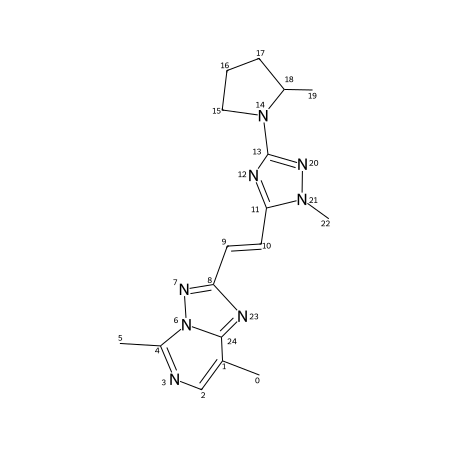 Cc1cnc(C)n2nc(C=Cc3nc(N4CCCC4C)nn3C)nc12